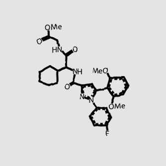 COC(=O)CNC(=O)C(NC(=O)c1cc(-c2c(OC)cccc2OC)n(-c2ccc(F)cc2)n1)C1CCCCC1